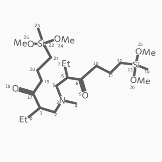 CCC(CN(C)CC(CC)C(=O)CCC[Si](C)(OC)OC)C(=O)CCC[Si](C)(OC)OC